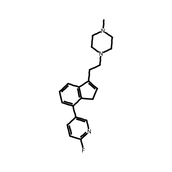 CN1CCN(CCC2=CCc3c2cccc3-c2ccc(F)nc2)CC1